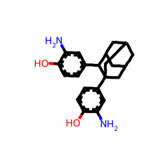 Nc1cc(C2C3CC4CC(C3)CC2(c2ccc(O)c(N)c2)C4)ccc1O